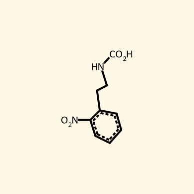 O=C(O)NCCc1ccccc1[N+](=O)[O-]